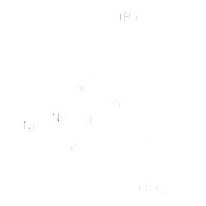 CC(C)(C)CCCCCC(=O)[O-].[Ni+2].[Ni+2].[O-]B([O-])[O-]